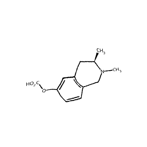 C[C@@H]1Cc2cc(OC(=O)O)ccc2CN1C